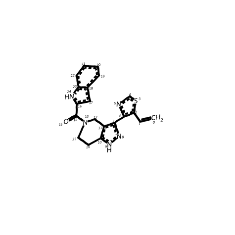 C=Cc1scnc1-c1n[nH]c2c1CN(C(=O)c1cc3ccccc3[nH]1)CC2